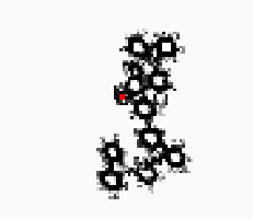 c1cc(-n2c3ccccc3c3ccccc32)nc(-n2c3ccccc3c3cc(-c4ccc5c(c4)Oc4ccc(-n6c7ccccc7c7ccccc76)cc4C54c5cccnc5-c5ncccc54)ccc32)c1